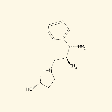 C[C@@H](CN1CC[C@H](O)C1)[C@@H](N)c1ccccc1